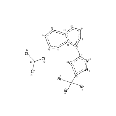 BrC(Br)(Br)c1nnc(-c2cccc3ccccc23)o1.ClC(Cl)Cl